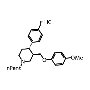 CCCCCN1CC[C@H](c2ccc(F)cc2)[C@@H](COc2ccc(OC)cc2)C1.Cl